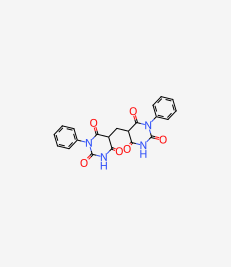 O=C1NC(=O)N(c2ccccc2)C(=O)C1CC1C(=O)NC(=O)N(c2ccccc2)C1=O